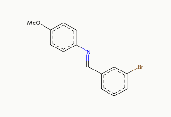 COc1ccc(/N=C/c2cccc(Br)c2)cc1